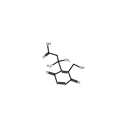 CC(C)(CC(=O)O)C1=C(CO)C(=O)C=CC1=O